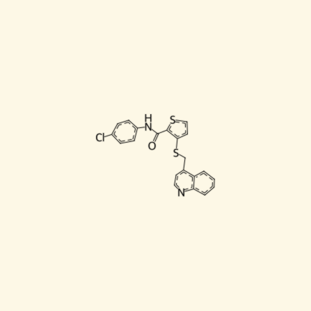 O=C(Nc1ccc(Cl)cc1)c1sccc1SCc1ccnc2ccccc12